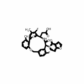 Cc1cc2cc(c1F)C(CC(=O)O)NC(=O)C(n1ccc3occc3c1=O)c1cc(ccc1F)COc1cccc(C)c1-2